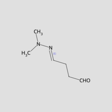 CN(C)/N=C/CCC=O